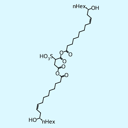 CCCCCC[C@@H](O)C/C=C\CCCCCCCC(=O)OC(=O)CC(C(=O)OC(=O)CCCCCCC/C=C\C[C@H](O)CCCCCC)S(=O)(=O)O